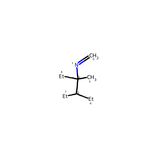 C=NC(C)(CC)C(CC)CC